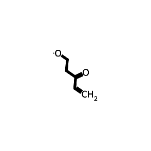 C=CC(=O)CC[O]